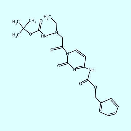 CCN(CC(=O)n1ccc(NC(=O)OCc2ccccc2)nc1=O)NC(=O)OC(C)(C)C